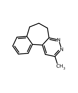 Cc1cc2c(nn1)CCCc1ccccc1-2